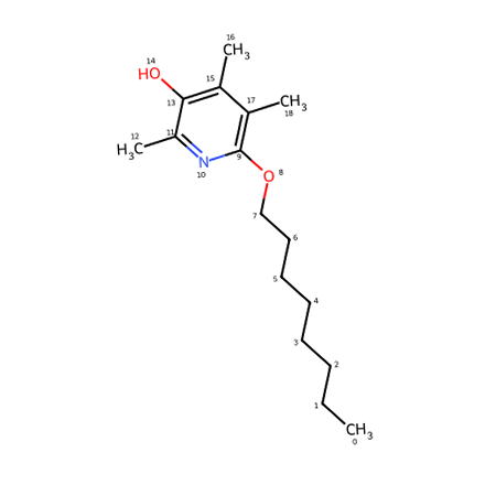 CCCCCCCCOc1nc(C)c(O)c(C)c1C